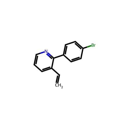 C=Cc1cccnc1-c1ccc(Br)cc1